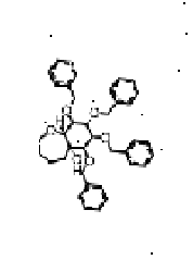 O[C@]12CCCCO[C@@H]1C(OCc1ccccc1)[C@H](OCc1ccccc1)[C@@H](OCc1ccccc1)C2OCc1ccccc1